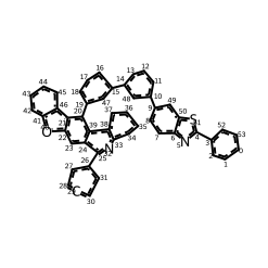 c1ccc(-c2nc3ccc(-c4cccc(-c5cccc(-c6c7c(cc8c(-c9ccccc9)nc9ccccc9c68)oc6ccccc67)c5)c4)cc3s2)cc1